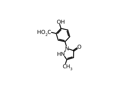 Cc1cc(=O)n(-c2ccc(O)c(C(=O)O)c2)[nH]1